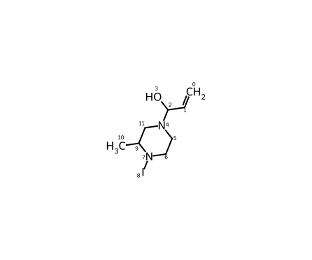 C=CC(O)N1CCN(I)C(C)C1